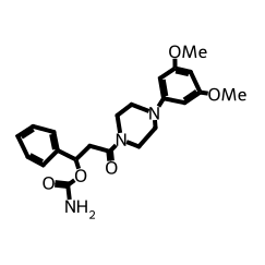 COc1cc(OC)cc(N2CCN(C(=O)CC(OC(N)=O)c3ccccc3)CC2)c1